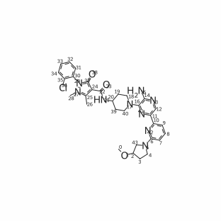 COC1CCN(c2cccc(-c3cnc(N)c(N4CCC(NC(=O)c5c(C)n(C)n(-c6ccccc6Cl)c5=O)CC4)n3)n2)C1